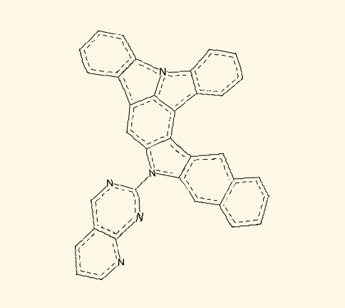 c1ccc2cc3c(cc2c1)c1c2c4ccccc4n4c5ccccc5c(cc1n3-c1ncc3cccnc3n1)c24